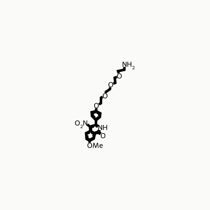 COc1ccc2c([N+](=O)[O-])c(-c3ccc(OCCOCCOCCOCCN)cc3)[nH]c(=O)c2c1